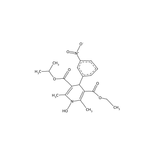 CCOC(=O)C1=C(C)N(O)C(C)=C(C(=O)OC(C)C)C1c1cccc([N+](=O)[O-])c1